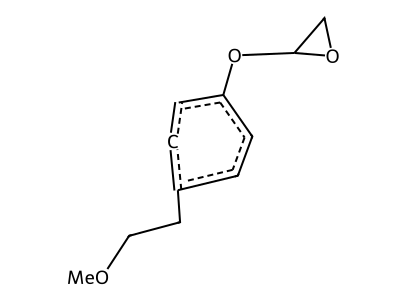 COCCc1ccc(OC2CO2)cc1